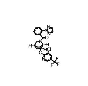 O=C(c1ccccc1-n1nccn1)N1C[C@@H]2CC[C@H]1[C@H](Oc1ncc(C(F)(F)F)cc1Cl)C2